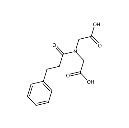 O=C(O)CN(CC(=O)O)C(=O)CCc1ccccc1